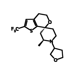 C[C@H]1C[C@@]2(CCN1C1CCOC1)OCCc1cc(C(F)(F)F)sc12